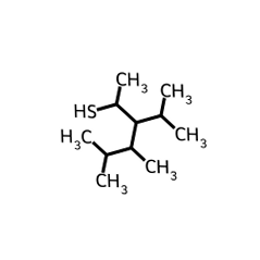 CC(C)C(C)C(C(C)C)C(C)S